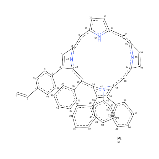 C=Cc1ccc(C2=Cc3cc4ccc(cc5nc(cc6c(-c7ccccc7)c(-c7ccccc7)c(c(-c7ccccc7)c2n3)n6-c2ccccc2)C=C5)[nH]4)cc1.[Pt]